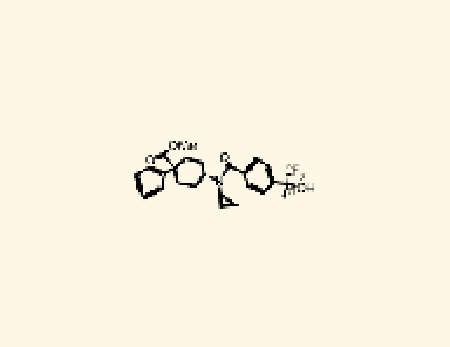 COC(=O)[C@]1(c2ccccc2)CC[C@H](N(C(=O)c2ccc([C@](C)(O)C(F)(F)F)cc2)C2CC2)CC1